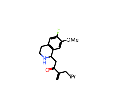 C=C(CC(C)C)C(=O)CC1NCCc2cc(F)c(OC)cc21